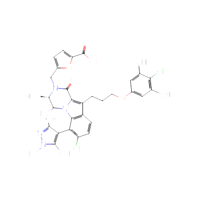 Cc1cc(OCCCc2c3n(c4c(-c5c(C)nn(C)c5C)c(Cl)ccc24)C(C)[C@@H](C)N(Cc2ccc(C(=O)O)o2)C3=O)cc(C)c1Cl